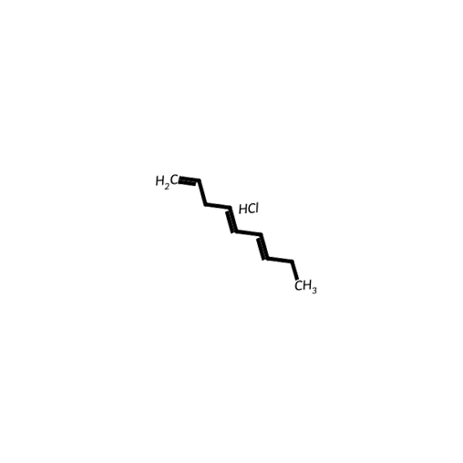 C=CCC=CC=CCC.Cl